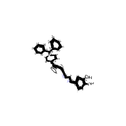 O=C(/C=C/C=C/c1ccc(O)c(O)c1)C1CCN(C(c2ccccc2)c2ccccc2)CC1